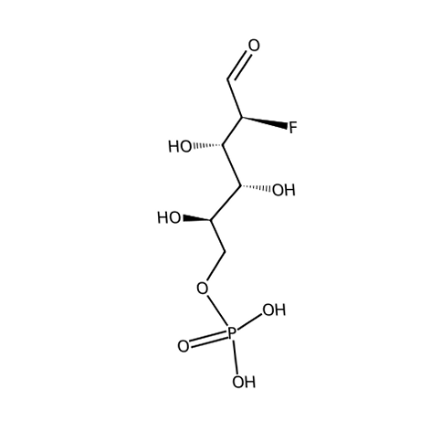 O=C[C@@H](F)[C@@H](O)[C@H](O)[C@H](O)COP(=O)(O)O